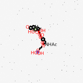 CC(=O)N[C@@H](Cc1ccc(OC(=O)OCC(=O)[C@@]2(O)[C@H](C)C[C@H]3[C@@H]4CCC5=CC(=O)C=C[C@]5(C)C4(F)[C@@H](O)C[C@@]32C)cc1)C(=O)OCCCCON(O)O